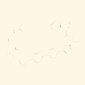 CCN(CC)[C@@H](C(=O)N1CCC[C@H]1c1ncc(-c2ccc(-c3ccc(-c4cnc([C@@H]5CCCN5C(=O)[C@H]5CC[C@@H](NC(=O)O)C5)[nH]4)cc3)cc2)[nH]1)c1ccccc1